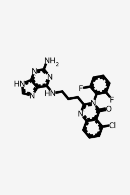 Nc1nc(NCCCc2nc3cccc(Cl)c3c(=O)n2-c2c(F)cccc2F)c2nc[nH]c2n1